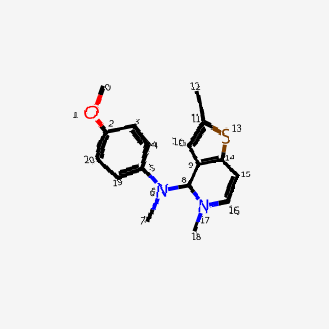 COc1ccc(N(C)C2c3cc(C)sc3C=CN2C)cc1